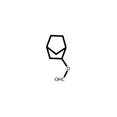 O=[C]OC1CC2CCC1C2